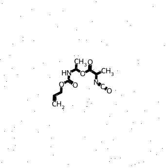 C=CCOC(=O)NC(C)OC(=O)C(C)N=C=O